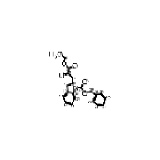 CCOC(=O)C(=O)CC1Cc2ccccc2N1C(=O)OCc1ccccc1